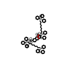 O=S(=O)(OC(CCCCCCCC[PH](c1ccccc1)(c1ccccc1)c1ccccc1)[PH](c1ccccc1)(c1ccccc1)c1ccccc1)c1ccc2ccc(S(=O)(=O)OC(CCCCCCCC[PH](c3ccccc3)(c3ccccc3)c3ccccc3)[PH](c3ccccc3)(c3ccccc3)c3ccccc3)cc2c1